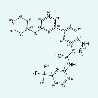 O=C(Nc1cc(C(F)(F)F)ccn1)c1n[nH]c2ccc(-c3cncc(CN4CCOCC4)c3)cc12